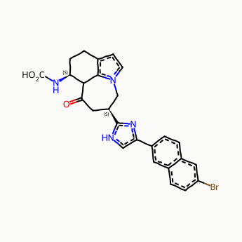 O=C(O)N[C@H]1CCc2ccn3c2C1C(=O)C[C@H](c1nc(-c2ccc4cc(Br)ccc4c2)c[nH]1)C3